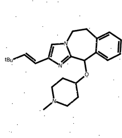 CN1CCC(OC2c3ccccc3CCn3cc(/C=C/C(C)(C)C)nc32)CC1